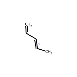 C=[C]/C=C/C